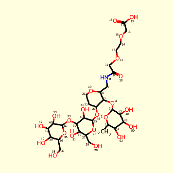 CC1OC(OC2C(CNC(=O)COCCOCC(=O)O)OCCC2OC2OC(CO)C(O)C(OC3OC(CO)C(O)C(O)C3O)C2O)C(O)C(O)C1O